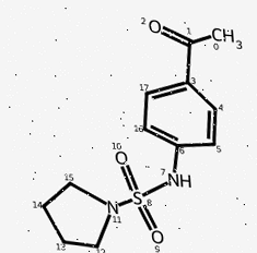 CC(=O)c1ccc(NS(=O)(=O)N2CCCC2)cc1